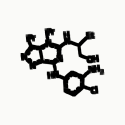 CCC(CO)Nc1nc(Nc2ccc(Cl)c(N)c2)c2nnc(C(C)C)c-2n1C(C)C